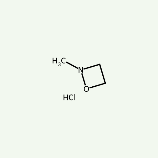 CN1CCO1.Cl